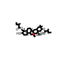 C=CCC1[C@@]2(C)CC[C@H](O)[C@](C)(COC(=O)/C(C)=C/C)C2CC[C@@]1(C)[C@@]1(C)CC2CC(C)(C)[C@@H](OC(=O)/C(C)=C/C)[C@H](O)[C@]2(CO)[C@H](O)C1